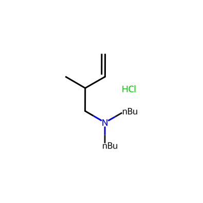 C=CC(C)CN(CCCC)CCCC.Cl